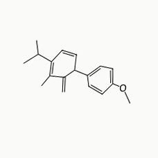 C=C1C(C)=C(C(C)C)C=CC1c1ccc(OC)cc1